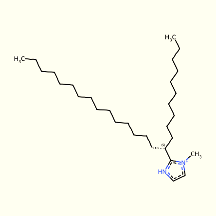 CCCCCCCCCCCCCCC[C@H](CCCCCCCCCC)c1[nH]cc[n+]1C